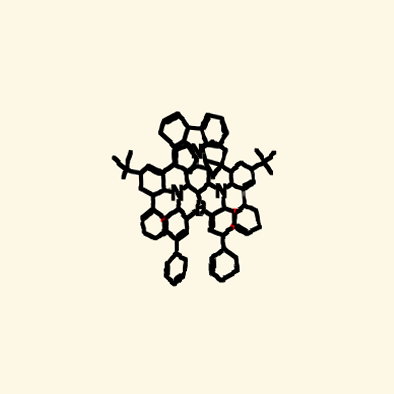 CC(C)(C)C1C=C(C2=CCCC2)C(N2C3C=CC(C4C=CC=CC4)=CC3B3C4=CC(C5C=CCCC5)CCC4N(C4C(C5CC=CCC5)=CC(C(C)(C)C)CC4C45CCCC4C5)C4C[C@@H](N5C6CC=CC=C6C6C=CCCC65)CC2C34)C(C2=CCCCC2)C1